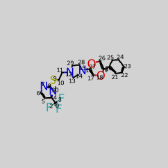 FC(F)(F)c1ccnc(SCCN2CCN(C3=COC(C4=CC=CCC4)=CO3)CC2)n1